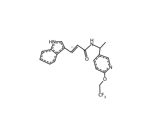 CC(NC(=O)/C=C/c1c[nH]c2ccccc12)c1ccc(OCC(F)(F)F)nc1